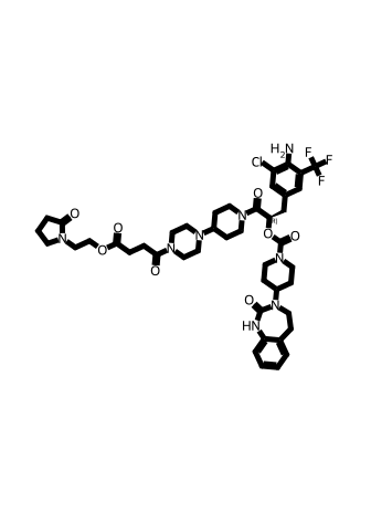 Nc1c(Cl)cc(C[C@@H](OC(=O)N2CCC(N3CCc4ccccc4NC3=O)CC2)C(=O)N2CCC(N3CCN(C(=O)CCC(=O)OCCN4CCCC4=O)CC3)CC2)cc1C(F)(F)F